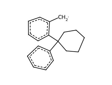 [CH2]c1ccccc1C1(c2ccccc2)CCCCC1